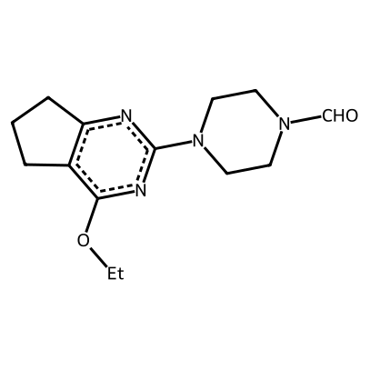 CCOc1nc(N2CCN(C=O)CC2)nc2c1CCC2